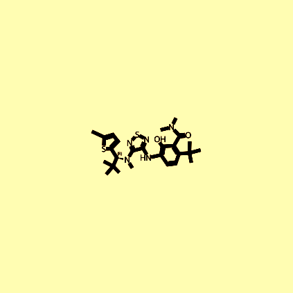 Cc1ccc([C@H](N(C)c2nsnc2Nc2ccc(C(C)(C)C)c(C(=O)N(C)C)c2O)C(C)(C)C)s1